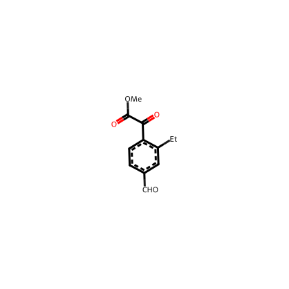 CCc1cc(C=O)ccc1C(=O)C(=O)OC